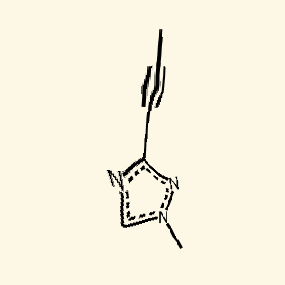 CC#Cc1ncn(C)n1